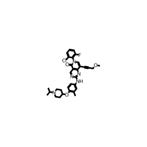 COCC#Cc1cn(-c2c(F)cccc2Cl)c(=O)c2cnc(Nc3ccc(OC4CCN(C(C)C)CC4)c(C)c3)nc12